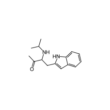 CC(=O)C(Cc1cc2ccccc2[nH]1)NC(C)C